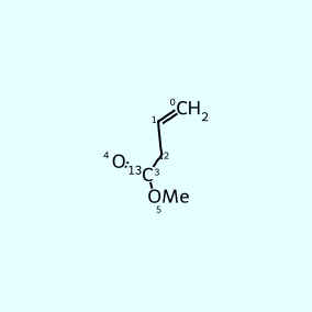 C=C[CH][13C](=O)OC